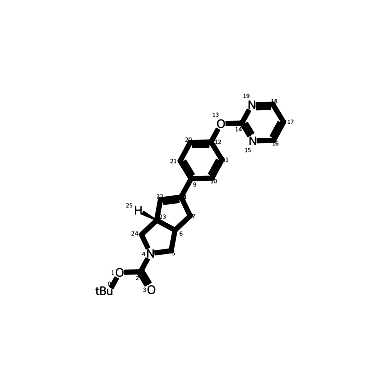 CC(C)(C)OC(=O)N1CC2CC(c3ccc(Oc4ncccn4)cc3)=C[C@H]2C1